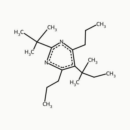 CCCc1nc(C(C)(C)C)nc(CCC)c1C(C)(C)CC